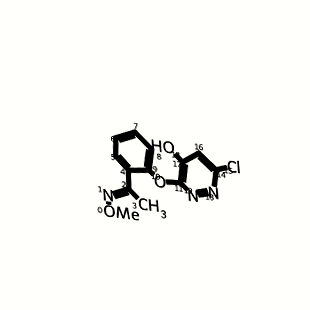 CO/N=C(\C)c1ccccc1Oc1nnc(Cl)cc1O